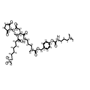 CN(C)CCCNC(=O)Oc1ccc(COC(=O)N(C)CCCNC(=O)[C@H](CC(=O)ON2C(=O)CCC2=O)N(C)C(=O)CCCCCSS(C)(=O)=O)cc1